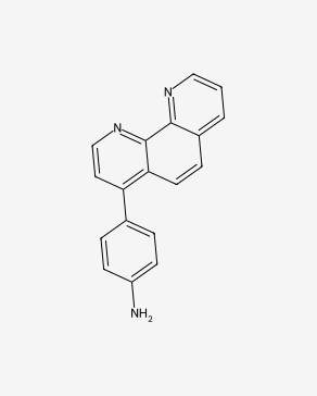 Nc1ccc(-c2ccnc3c2ccc2cccnc23)cc1